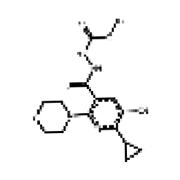 CC(C)(C)OC(=O)NNC(=O)c1cc(C#N)c(C2CC2)nc1N1CCOCC1